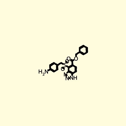 Nc1ccc(CS(=O)(=O)c2c(C(=O)OCc3ccccc3)ccc3[nH]nnc23)cc1